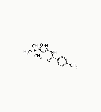 Cc1ccc(C(=O)Nc2cc(C(C)(C)C)on2)cc1